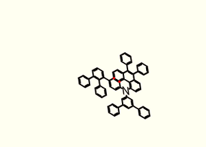 c1ccc(-c2cc(-c3ccccc3)cc(N(c3ccc(-c4cccc(-c5ccccc5)c4-c4ccccc4)cc3)c3cccc4c(-c5ccccc5)c(-c5ccccc5)c5ccccc5c34)c2)cc1